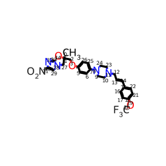 CC1(COc2ccc(N3CCN(CC=Cc4ccc(OC(F)(F)F)cc4)CC3)cc2)Cn2cc([N+](=O)[O-])nc2O1